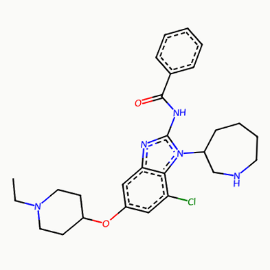 CCN1CCC(Oc2cc(Cl)c3c(c2)nc(NC(=O)c2ccccc2)n3C2CCCCNC2)CC1